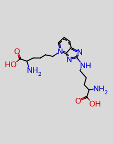 NC(CCCCn1cccc2nc(NCCCC(N)C(=O)O)nc1-2)C(=O)O